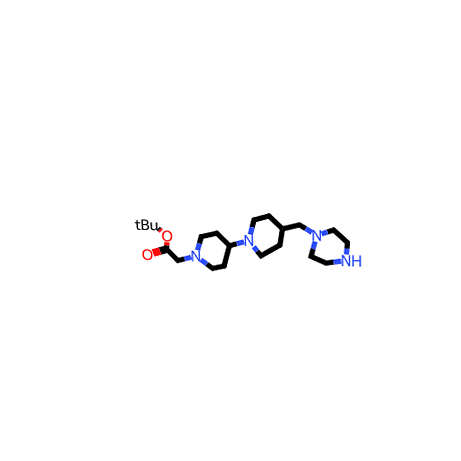 CC(C)(C)OC(=O)CN1CCC(N2CCC(CN3CCNCC3)CC2)CC1